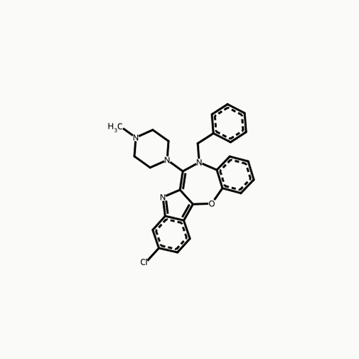 CN1CCN(C2=C3N=c4cc(Cl)ccc4=C3Oc3ccccc3N2Cc2ccccc2)CC1